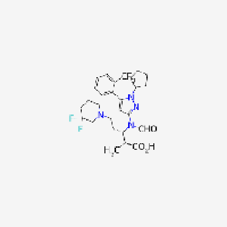 C[C@H](C(=O)O)[C@H](CCN1CCCC(F)(F)C1)N(C=O)c1cc(-c2ccccc2C(F)(F)F)n(C2CCCC2)n1